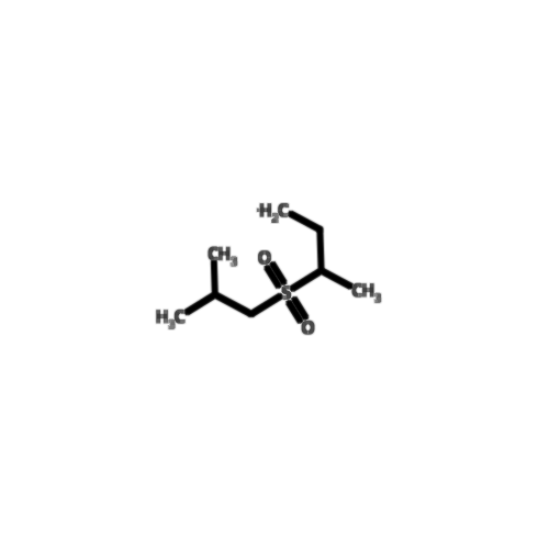 [CH2]CC(C)S(=O)(=O)CC(C)C